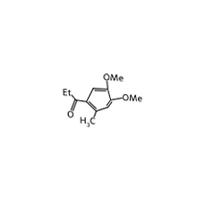 CCC(=O)c1cc(OC)c(OC)cc1C